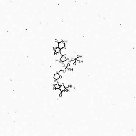 Nc1nc2c(nnn2[C@H]2CC[C@@H](COP(=O)(S)O[C@H]3[C@H](F)[C@H](n4nnc5c(=O)[nH]cnc54)O[C@@H]3COP(=O)(O)S)O2)c(=O)[nH]1